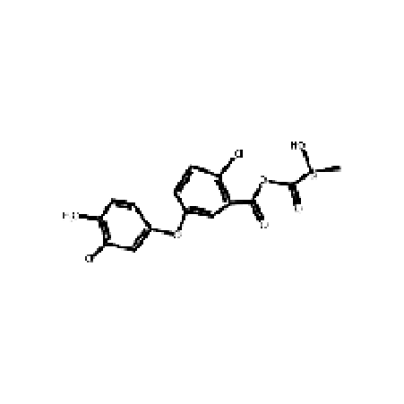 C[C@H](O)C(=O)OC(=O)c1cc(Oc2ccc(C(F)(F)F)c(Cl)c2)ccc1Cl